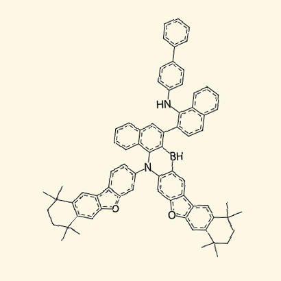 CC1(C)CCC(C)(C)c2cc3c(cc21)oc1cc(N2c4cc5oc6cc7c(cc6c5cc4Bc4c(-c5ccc6ccccc6c5Nc5ccc(-c6ccccc6)cc5)cc5ccccc5c42)C(C)(C)CCC7(C)C)ccc13